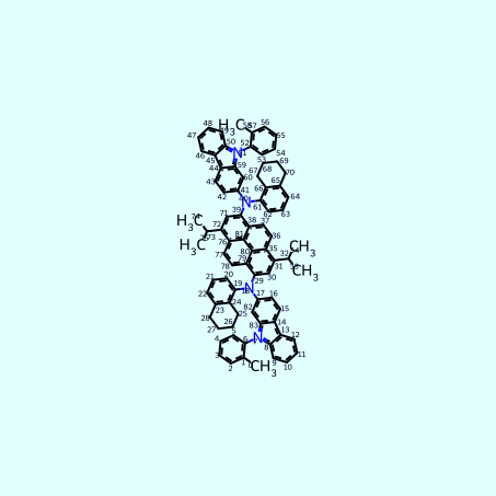 Cc1ccccc1-n1c2ccccc2c2ccc(N(c3cccc4c3CCCC4)c3cc(C(C)C)c4ccc5c(N(c6ccc7c8ccccc8n(-c8ccccc8C)c7c6)c6cccc7c6CCCC7)cc(C(C)C)c6ccc3c4c65)cc21